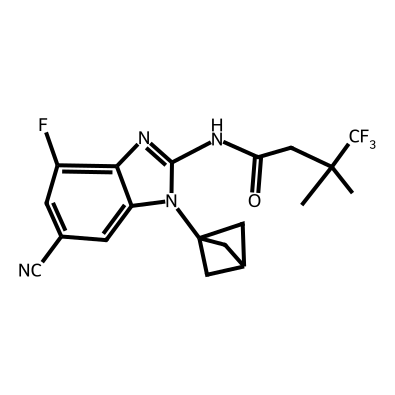 CC(C)(CC(=O)Nc1nc2c(F)cc(C#N)cc2n1C12CC(C1)C2)C(F)(F)F